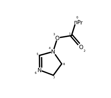 CCCC(=O)ON1C=NCC1